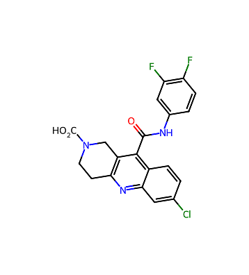 O=C(Nc1ccc(F)c(F)c1)c1c2c(nc3cc(Cl)ccc13)CCN(C(=O)O)C2